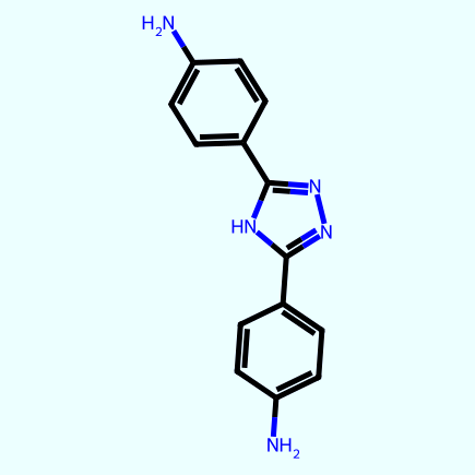 Nc1ccc(-c2nnc(-c3ccc(N)cc3)[nH]2)cc1